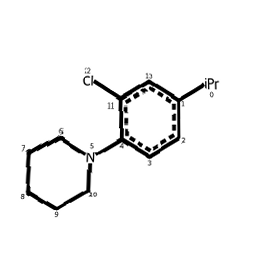 [CH]C(C)c1ccc(N2CCCCC2)c(Cl)c1